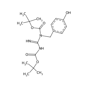 CC(C)(C)OC(=O)NC(=N)N(Cc1ccc(O)cc1)C(=O)OC(C)(C)C